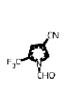 N#Cc1cc(C(F)(F)F)n(C=O)c1